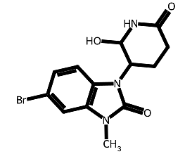 Cn1c(=O)n(C2CCC(=O)NC2O)c2ccc(Br)cc21